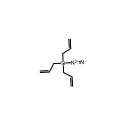 C=CC[Si](CC=C)(CC=C)[N+2]=[N-]